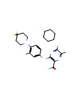 CCc1nc(C(N)=O)c(Nc2ccc(N3CCC(F)(F)CC3)c(C(F)(F)F)c2)nc1N[C@H]1CC[C@H](O)CC1